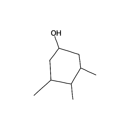 CC1CC(O)CC(C)C1C